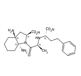 C[C@H](N[C@@H](CCc1ccccc1)C(=O)O)C(=O)N1[C@H](C(=O)O)C[C@@]2(N)CCCC[C@]12N